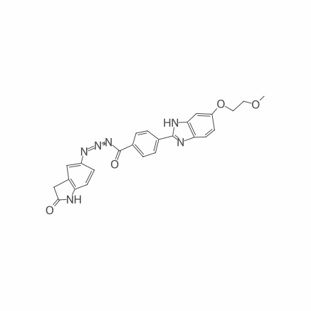 COCCOc1ccc2nc(-c3ccc(C(=O)N=[N+]=Nc4ccc5c(c4)CC(=O)N5)cc3)[nH]c2c1